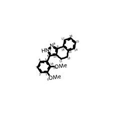 COc1cccc(-c2[nH]nc3c2CCc2ccccc2-3)c1OC